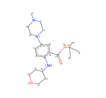 CN1CCN(c2ccc(NC3CCOCC3)c(C(=O)OC(C)(C)C)c2)CC1